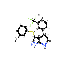 Cc1cccc(Sc2c[nH]c3nccc(-c4cccc(C(F)(F)F)c4)c23)c1